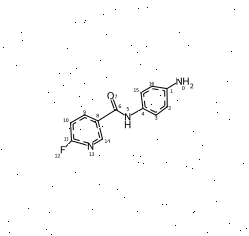 Nc1ccc(NC(=O)c2ccc(F)nc2)cc1